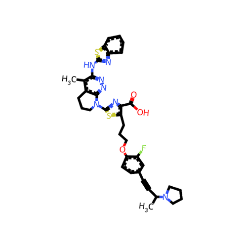 Cc1c(Nc2nc3ccccc3s2)nnc2c1CCCN2c1nc(C(=O)O)c(CCCOc2ccc(C#CC(C)N3CCCC3)cc2F)s1